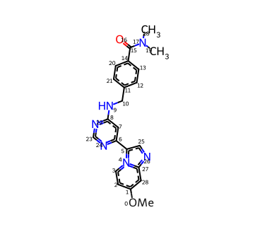 COc1ccn2c(-c3cc(NCc4ccc(C(=O)N(C)C)cc4)ncn3)cnc2c1